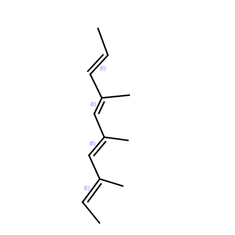 C/C=C/C(C)=C/C(C)=C/C(C)=C/C